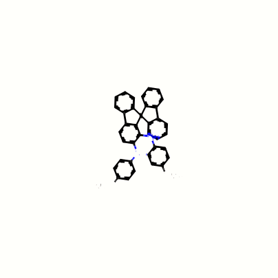 COc1ccc(Nc2ccc3c(c2Nc2ccc(OC)cc2)C2(c4ccccc4-c4ccccc42)c2ccccc2-3)cc1